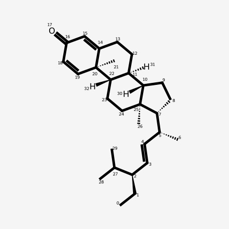 CC[C@H](C=C[C@@H](C)[C@H]1CC[C@H]2[C@@H]3CCC4=CC(=O)C=C[C@]4(C)[C@H]3CC[C@]12C)C(C)C